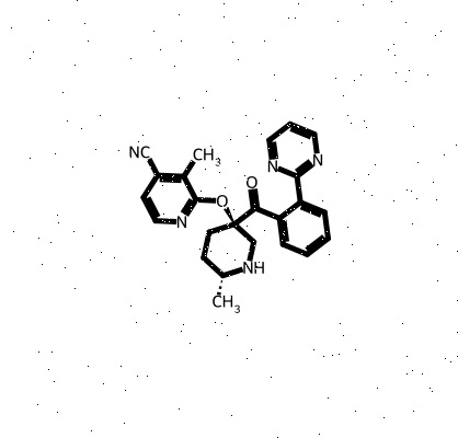 Cc1c(C#N)ccnc1O[C@]1(C(=O)c2ccccc2-c2ncccn2)CC[C@@H](C)NC1